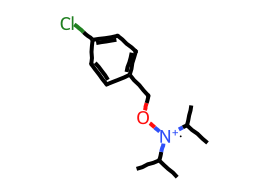 CC(C)[N+](OCc1ccc(Cl)cc1)C(C)C